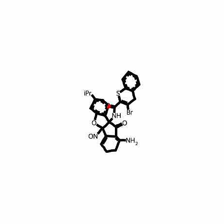 CC(C)c1ccc2c(c1)OC1(N=O)C3=CCCC(N)=C3C(=O)C21NC(=O)C1=C(Br)Cc2ccccc2S1